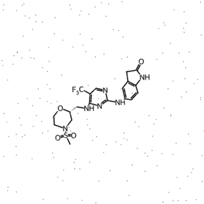 CS(=O)(=O)N1CCO[C@H](CNc2nc(Nc3ccc4c(c3)CC(=O)N4)ncc2C(F)(F)F)C1